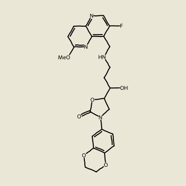 COc1ccc2ncc(F)c(CNCCC(O)C3CN(c4ccc5c(c4)OCCO5)C(=O)O3)c2n1